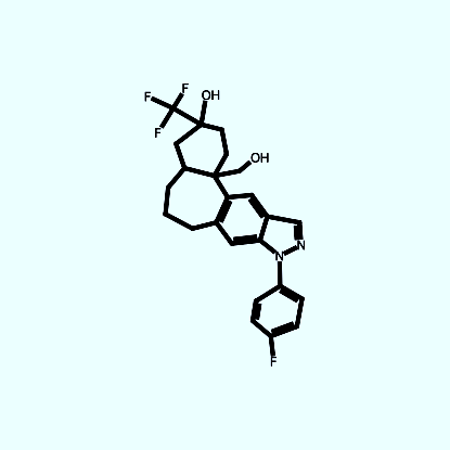 OCC12CCC(O)(C(F)(F)F)CC1CCCc1cc3c(cnn3-c3ccc(F)cc3)cc12